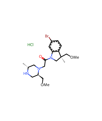 COC[C@H]1CN[C@H](C)CN1CC(=O)N1C[C@](C)(COC)c2ccc(Br)cc21.Cl